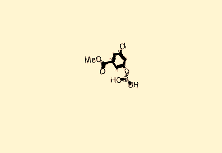 COC(=O)c1cc(Cl)cc(OB(O)O)c1